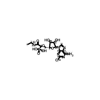 CCNC(=O)C(OC[C@H]1OC(n2cnc3c(N)nc(Cl)nc32)[C@H](O)[C@@H]1O)P(=O)(O)O